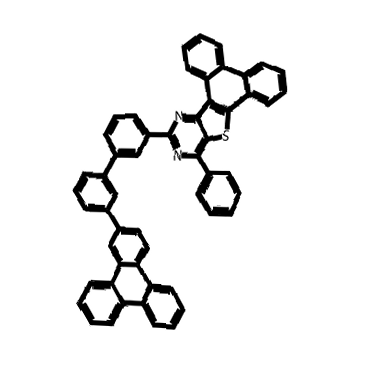 c1ccc(-c2nc(-c3cccc(-c4cccc(-c5ccc6c7ccccc7c7ccccc7c6c5)c4)c3)nc3c2sc2c4ccccc4c4ccccc4c32)cc1